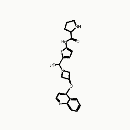 O=C(Nc1ccc(C(O)N2CC(Oc3ccnc4ccccc34)C2)s1)C1CCCN1